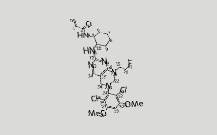 C=CC(=O)NC1CCCCC1Nc1ncc2c(n1)N(CCF)CN(c1c(Cl)c(OC)cc(OC)c1Cl)C2